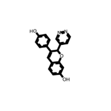 Oc1ccc(C2=Cc3ccc(O)cc3OC2c2ccnnc2)cc1